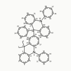 CC1(C)c2ccccc2N(c2ccccc2)c2ccc(C3(c4ccccc4)c4ccccc4N(c4ccccc4)c4ccccc43)cc21